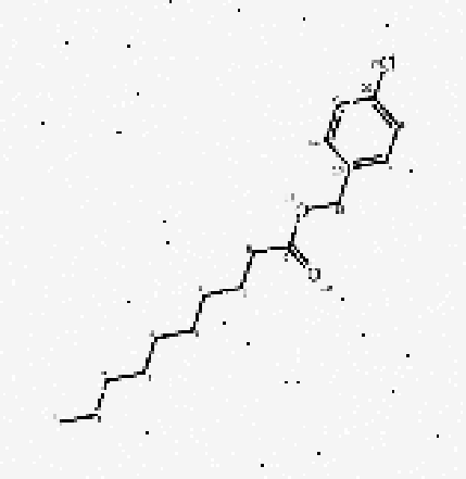 CCCCCCCCCC(=O)OCc1ccc(Cl)cc1